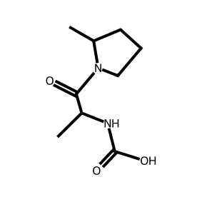 CC(NC(=O)O)C(=O)N1CCCC1C